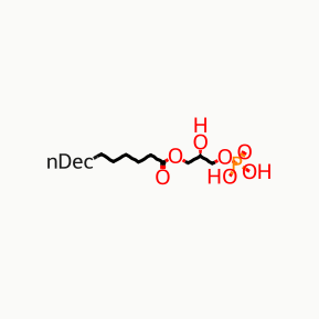 CCCCCCCCCCCCCCCC(=O)OC[C@@H](O)COP(=O)(O)O